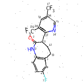 O=C1Nc2ccc(F)cc2CCC1c1ncc(C(F)(F)F)cc1C(F)(F)F